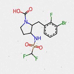 O=C(O)N1CCC(NS(=O)(=O)C(F)F)C1Cc1cccc(Br)c1F